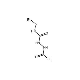 CC(C)SNC(=O)NNC(=O)C(F)(F)F